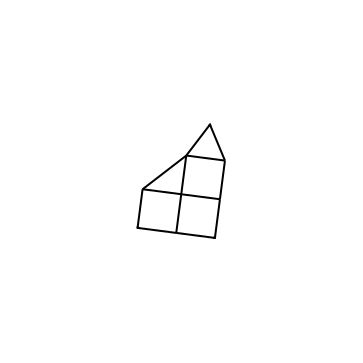 C1C2CC3C45CC4C1C235